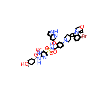 C[C@]1(O)CC[C@H](CNc2ncc(S(=O)(=O)NC(=O)c3ccc(N4CCC5(CC4)CC(N4CCOC6C[C@@]64c4ccccc4Br)C5)cc3Oc3cnc4[nH]ccc4c3)cc2[N+](=O)[O-])CC1